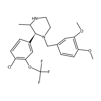 COc1ccc(CN2CCNC(C)[C@@H]2c2ccc(Cl)c(OC(F)(F)F)c2)cc1OC